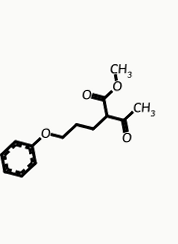 COC(=O)C(CCCOc1ccccc1)C(C)=O